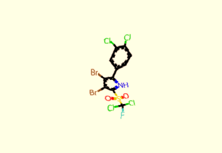 O=S(=O)(c1[nH]c(-c2ccc(Cl)c(Cl)c2)c(Br)c1Br)C(F)(Cl)Cl